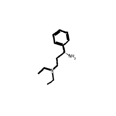 CCN(CC)CC[C@@H](N)c1ccccc1